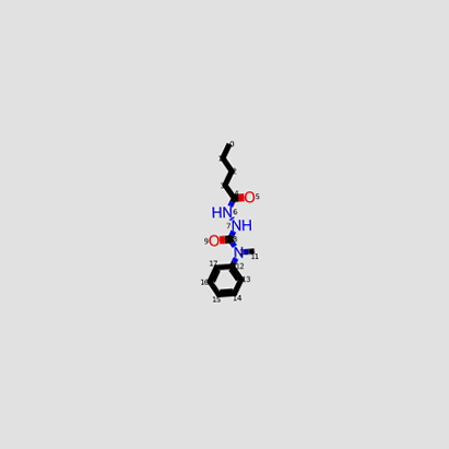 CCCCC(=O)NNC(=O)N(C)c1ccccc1